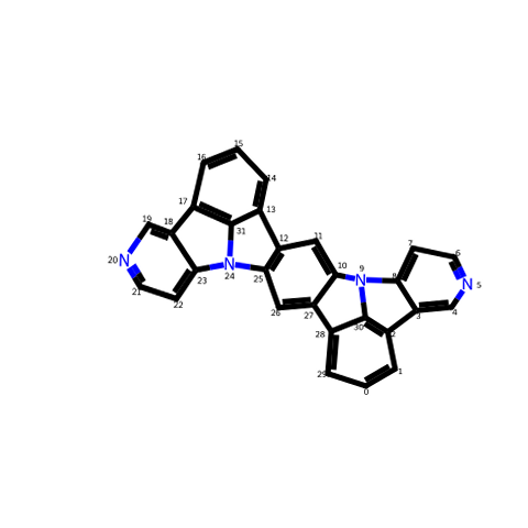 c1cc2c3cnccc3n3c4cc5c6cccc7c8cnccc8n(c5cc4c(c1)c23)c76